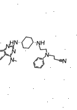 CN(C)c1nc(N[C@H]2CC[C@@H](NCCN(CCC#N)c3ccccc3)CC2)nc2ccccc12